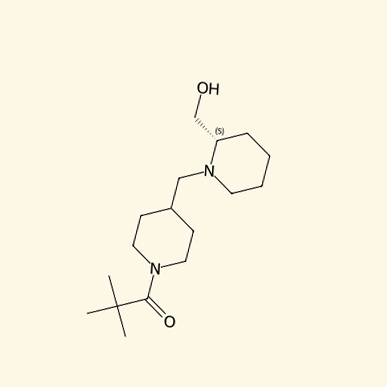 CC(C)(C)C(=O)N1CCC(CN2CCCC[C@H]2CO)CC1